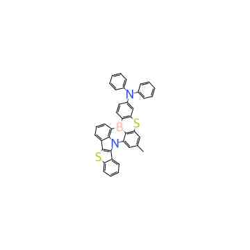 Cc1cc2c3c(c1)-n1c4c(cccc4c4sc5ccccc5c41)B3c1ccc(N(c3ccccc3)c3ccccc3)cc1S2